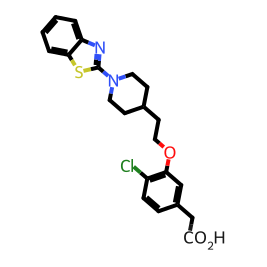 O=C(O)Cc1ccc(Cl)c(OCCC2CCN(c3nc4ccccc4s3)CC2)c1